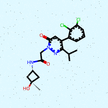 CC(C)c1nn(CC(=O)N[C@H]2C[C@](C)(O)C2)c(=O)cc1-c1cccc(Cl)c1Cl